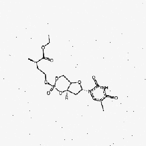 CCOC(=O)[C@H](C)CCO[P@@]1(=O)OCC2O[C@H](n3cc(C)c(=O)[nH]c3=O)C[C@H]2O1